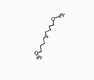 CC(C)OCCCC[N]CCCCOC(C)C